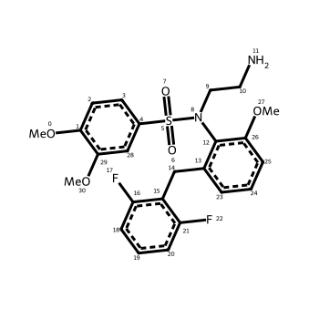 COc1ccc(S(=O)(=O)N(CCN)c2c(Cc3c(F)cccc3F)cccc2OC)cc1OC